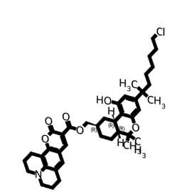 CC(C)(CCCCCCCl)c1cc(O)c2c(c1)OC(C)(C)[C@@H]1CC[C@@H](COC(=O)c3cc4cc5c6c(c4oc3=O)CCCN6CCC5)C[C@@H]21